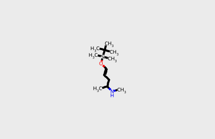 CNC(C)CC=CO[Si](C)(C)C(C)(C)C